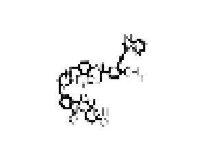 Cc1ccc(C(=O)Nc2ccc(CN3CCN(Cc4ccc5c(c4)C(=O)N(C4CCC(=O)NC4=O)C5=O)CC3)c(C(F)(F)F)c2)cc1C#Cc1cnc2cccnn12